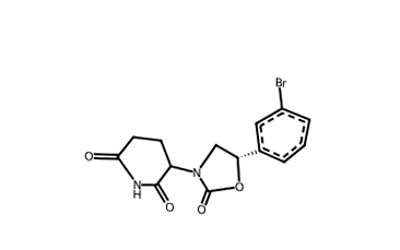 O=C1CCC(N2C[C@H](c3cccc(Br)c3)OC2=O)C(=O)N1